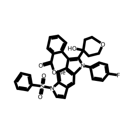 COC(=O)c1ccccc1-c1c(C2(O)CCOCC2)n(-c2ccc(F)cc2)c2cc3ccn(S(=O)(=O)c4ccccc4)c3cc12